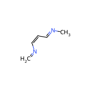 C=N/C=C\C=N\C